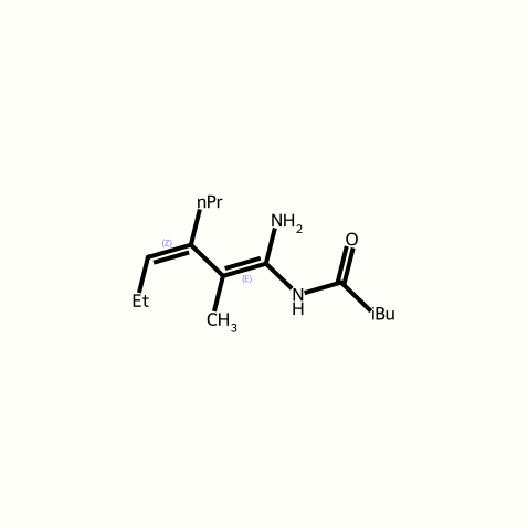 CC/C=C(CCC)\C(C)=C(/N)NC(=O)C(C)CC